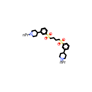 CCCN1CCC(c2cccc(S(=O)(=O)CCCCS(=O)(=O)c3cccc(C4CCN(CCC)CC4)c3)c2)CC1